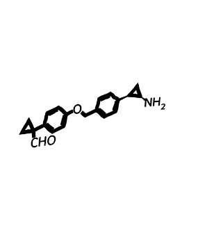 N[C@H]1C[C@@H]1c1ccc(COc2ccc(C3(C=O)CC3)cc2)cc1